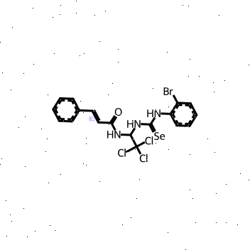 O=C(/C=C/c1ccccc1)NC(NC(=[Se])Nc1ccccc1Br)C(Cl)(Cl)Cl